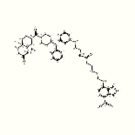 O=C(CCOCCNc1ccc([N+](=O)[O-])c2nonc12)NCCOc1cccc([C@H](c2ccccc2)C2CCN(C(=O)N3CC[C@@H]4OCC(=O)N[C@@H]4C3)CC2)c1